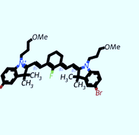 COCCCN1/C(=C/C=C2\CCCC(/C=C/C3=[N+](CCCOC)c4ccc(Br)cc4C3(C)C)=C2F)C(C)(C)c2cc(Br)ccc21